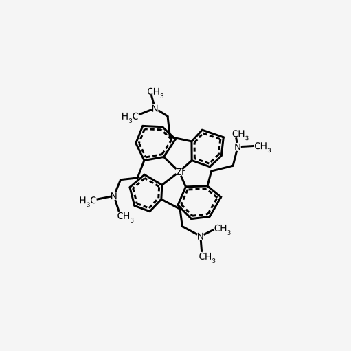 CN(C)CCc1cccc[c]1[Zr]([c]1ccccc1CCN(C)C)([c]1ccccc1CCN(C)C)[c]1ccccc1CCN(C)C